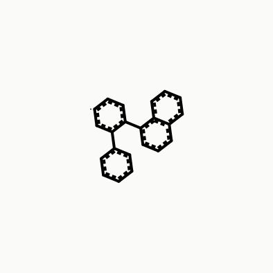 [c]1ccc(-c2cccc3ccccc23)c(-c2ccccc2)c1